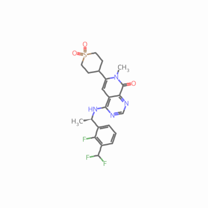 C[C@@H](Nc1ncnc2c(=O)n(C)c(C3CCS(=O)(=O)CC3)cc12)c1cccc(C(F)F)c1F